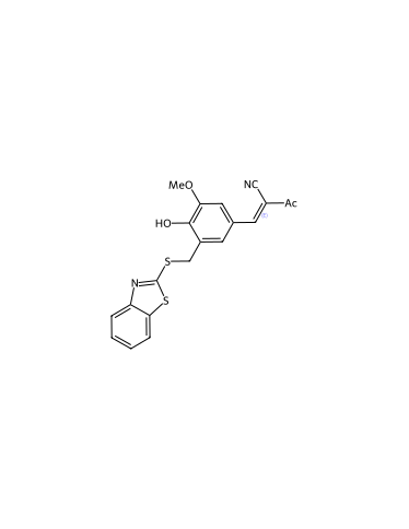 COc1cc(/C=C(\C#N)C(C)=O)cc(CSc2nc3ccccc3s2)c1O